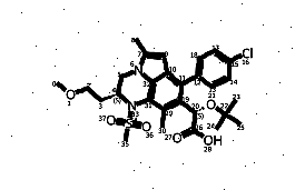 COCC[C@H]1Cn2c(C)cc3c(-c4ccc(Cl)cc4)c([C@H](OC(C)(C)C)C(=O)O)c(C)c(c32)N1S(C)(=O)=O